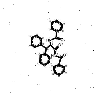 O=C(NC(=O)C(NC(=O)c1ccccc1)C(c1ccccc1)c1ccccc1)c1ccccc1